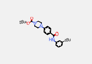 CC(C)(C)OC(=O)N1CCN(c2ccc(C(=O)Nc3cccc(C(C)(C)C)c3)cc2)CC1